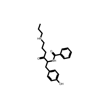 CCCNCCCC(=O)C(Cc1ccc(O)cc1)NC(=O)c1ccccc1